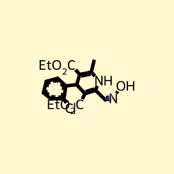 CCOC(=O)C1=C(C)NC(/C=N\O)=C(C(=O)OCC)C1c1ccccc1Cl